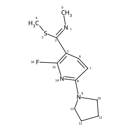 C/N=C(\SC)c1ccc(N2CCCC2)nc1F